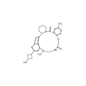 Cc1ccc2c(c1)C(=O)N1CCCCC1c1cc3nc(C4CC(O)C4)cc(n3n1)N(C)CCNC(=O)CO2